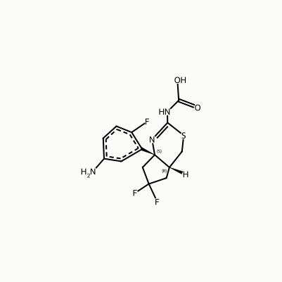 Nc1ccc(F)c([C@]23CC(F)(F)C[C@H]2CSC(NC(=O)O)=N3)c1